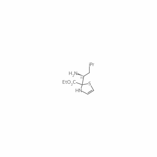 CCOC(=O)C1([C@@H](N)CC(C)C)NC=CS1